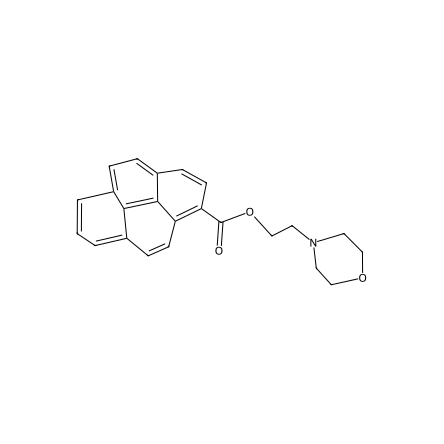 O=C(OCCN1CCOCC1)c1ccc2ccc3cccc4ccc1c2c34